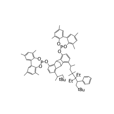 CCC(CC)(C(CC(C)(C)C)c1ccccc1)C(C)(C)CC(C)c1ccc(Op2oc3c(C)cc(C)cc3c3cc(C)cc(C)c3o2)c2c1C1CC2c2c(Op3oc4c(C)cc(C)cc4c4cc(C)cc(C)c4o3)ccc(C(C)CC(C)(C)C)c21